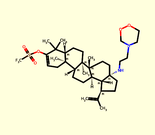 C=C(C)[C@@H]1CC[C@]2(NCCN3CCOOC3)CC[C@]3(C)[C@H](CC[C@@H]4[C@@]5(C)CC=C(OS(=O)(=O)C(F)(F)F)C(C)(C)[C@@H]5CC[C@]43C)[C@@H]12